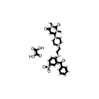 Cn1c(N2CCN(CCSc3ccc([N+](=O)[O-])cc3C(=O)c3ccccc3)CC2)cc(=O)n(C)c1=O.O=C(O)C(=O)O